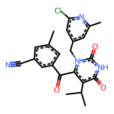 Cc1cc(C#N)cc(C(=O)c2c(C(C)C)c(=O)[nH]c(=O)n2Cc2cc(C)nc(Cl)c2)c1